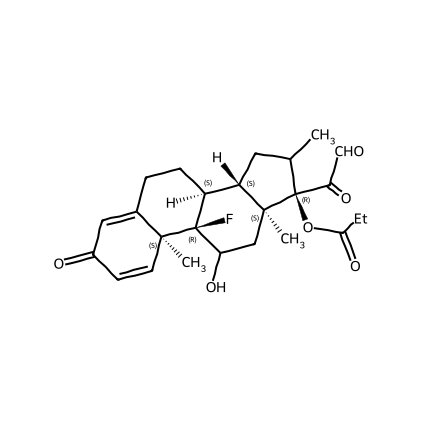 CCC(=O)O[C@]1(C(=O)C=O)C(C)C[C@H]2[C@@H]3CCC4=CC(=O)C=C[C@]4(C)[C@@]3(F)C(O)C[C@@]21C